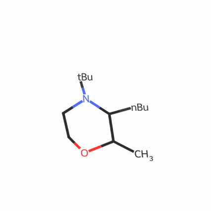 CCCCC1C(C)OCCN1C(C)(C)C